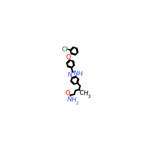 CC(CCC(N)=O)Cc1ccc2nc(-c3ccc(Oc4ccccc4Cl)cc3)[nH]c2c1